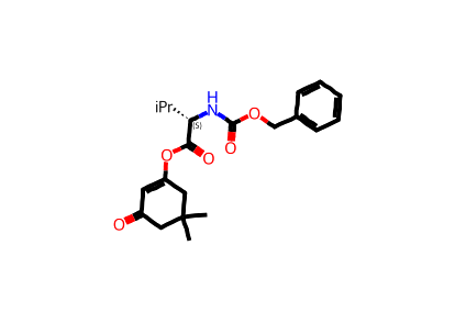 CC(C)[C@H](NC(=O)OCc1ccccc1)C(=O)OC1=CC(=O)CC(C)(C)C1